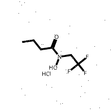 CCCC(=O)N(O)CC(F)(F)F.Cl